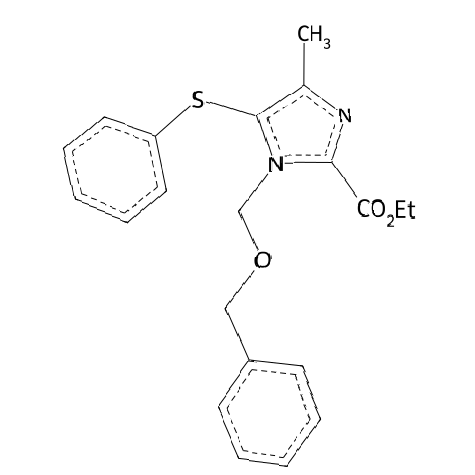 CCOC(=O)c1nc(C)c(Sc2ccccc2)n1COCc1ccccc1